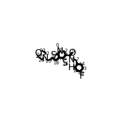 Cn1cc(C(=O)NCc2ccc(F)cc2)c(=S)c2cc(CN3CCOCC3)sc21